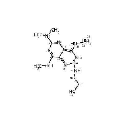 CNc1nc(N(C)C)nc2c(NC)nc(NCCO)nc12.Cl